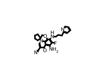 N#Cc1cn2c3c(c(NCCCc4ccccn4)c(F)c(N)c3c1=O)OCC21CCCC1